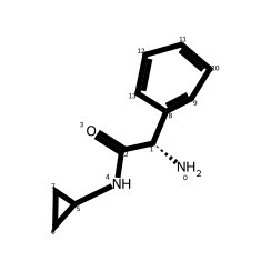 N[C@H](C(=O)NC1CC1)c1ccccc1